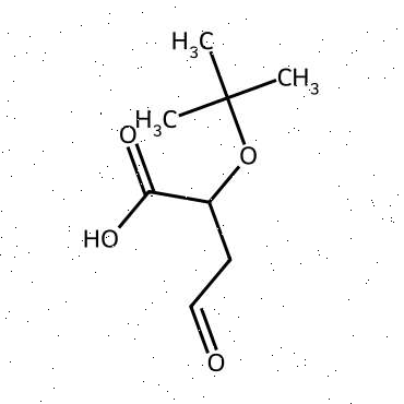 CC(C)(C)OC(CC=O)C(=O)O